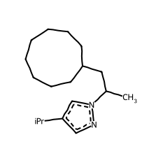 CC(C)c1cnn(C(C)CC2CCCCCCCC2)c1